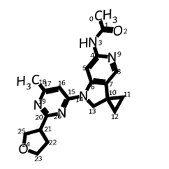 CC(=O)Nc1cc2c(cn1)C1(CC1)CN2c1cc(C)nc(C2CCOC2)n1